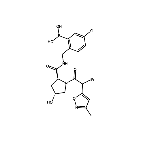 Cc1cc(C(C(=O)N2C[C@H](O)C[C@H]2C(=O)NCc2ccc(Cl)cc2B(O)O)C(C)C)on1